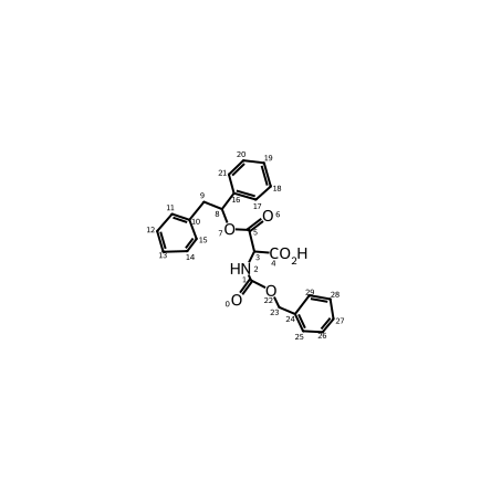 O=C(NC(C(=O)O)C(=O)OC(Cc1ccccc1)c1ccccc1)OCc1ccccc1